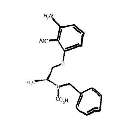 C[C@@H](COc1cccc(N)c1C#N)N(Cc1ccccc1)C(=O)O